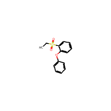 N#CCS(=O)(=O)c1ccccc1Oc1ccccc1